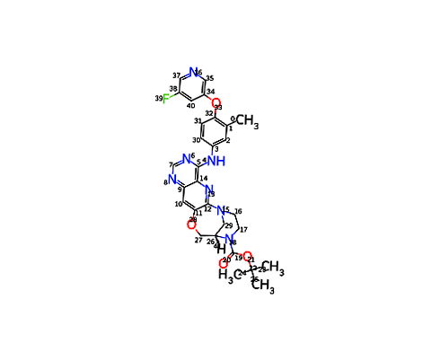 Cc1cc(Nc2ncnc3cc4c(nc23)N2CCN(C(=O)OC(C)(C)C)[C@H](CO4)C2)ccc1Oc1cncc(F)c1